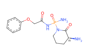 N[C@H]1CCCN(P(N)(=O)NC(=O)COc2ccccc2)C1=O